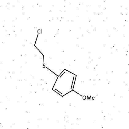 COc1ccc(SCCCl)cc1